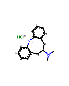 CN(C)C1Cc2ccccc2Nc2ccccc2C1.Cl